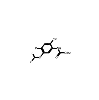 COC(=O)Nc1cc(OC(F)F)c(F)cc1C#N